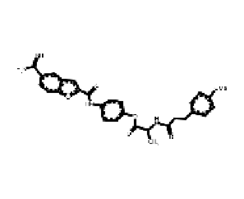 COc1ccc(CCC(=O)NC(C)C(=O)Oc2ccc(NC(=O)c3cc4cc(C(=N)N)ccc4o3)cc2)cc1